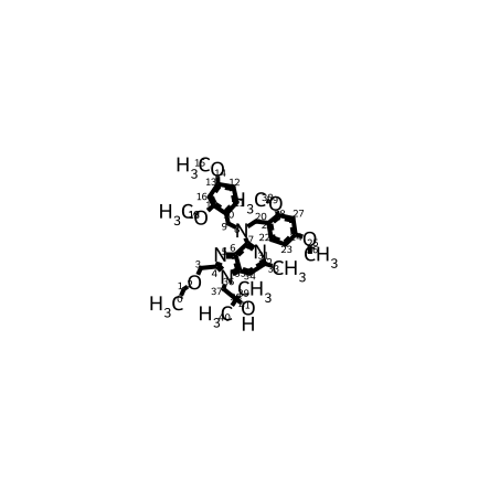 CCOCc1nc2c(N(Cc3ccc(OC)cc3OC)Cc3ccc(OC)cc3OC)nc(C)cc2n1CC(C)(C)O